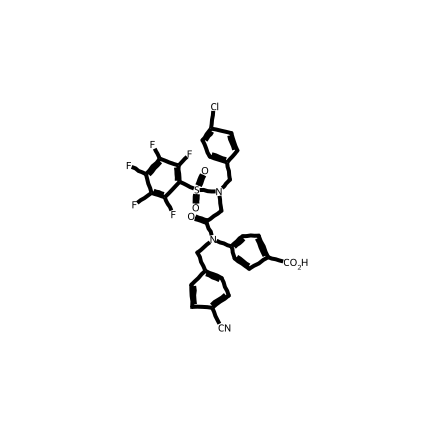 N#Cc1ccc(CN(C(=O)CN(Cc2ccc(Cl)cc2)S(=O)(=O)c2c(F)c(F)c(F)c(F)c2F)c2ccc(C(=O)O)cc2)cc1